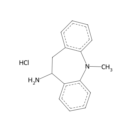 CN1c2ccccc2CC(N)c2ccccc21.Cl